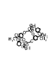 CC(C)(C)c1ccc2c(c1)OCC(OP(=O)(O)Oc1ccccc1)COc1ccc(C(C)(C)C)cc1OCC(OP(=O)(O)Oc1ccccc1)CO2